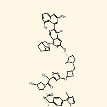 CCc1cccc2cc(O)cc(-c3ncc4c(N5CC6CCC(C5)N6)nc(OC[C@@H]5CC[C@@H](CN6CC(Oc7cc([C@@H](C(=O)N8C[C@H](O)C[C@H]8C(=O)N[C@@H](C)c8ccc(-c9scnc9C)cc8)C(C)C)on7)C6)N5C)nc4c3F)c12